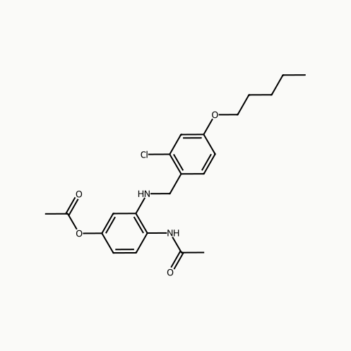 CCCCCOc1ccc(CNc2cc(OC(C)=O)ccc2NC(C)=O)c(Cl)c1